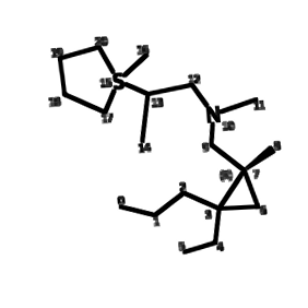 CCCC1(CC)C[C@@]1(C)CN(C)CC(C)S1(C)CCCC1